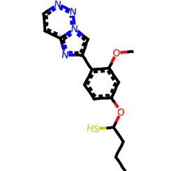 CCCC(S)Oc1ccc(-c2cn3nnccc3n2)c(OC)c1